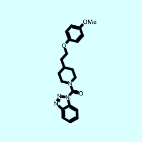 COc1ccc(OCCC2CCN(C(=O)n3nnc4ccccc43)CC2)cc1